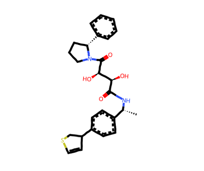 C[C@@H](NC(=O)[C@H](O)[C@@H](O)C(=O)N1CCC[C@@H]1c1ccccc1)c1ccc(C2C=CSC2)cc1